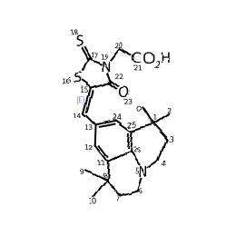 CC1(C)CCN2CCC(C)(C)c3cc(/C=C4/SC(=S)N(CC(=O)O)C4=O)cc1c32